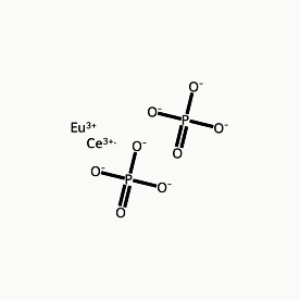 O=P([O-])([O-])[O-].O=P([O-])([O-])[O-].[Ce+3].[Eu+3]